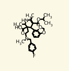 CC1=C(C(=O)OC(C)C)C(c2cccc3c2OCO3)C(CCN(C)Cc2ccc(F)cc2)(C(=O)O)C(C)N1